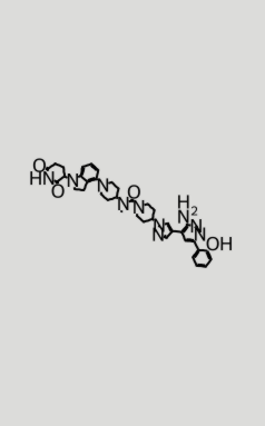 CN(C(=O)N1CCC(n2cc(-c3cc(-c4ccccc4O)nnc3N)cn2)CC1)C1CCN(c2cccc3c2CCN3C2CCC(=O)NC2=O)CC1